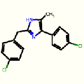 Cc1[nH]c(Cc2ccc(Cl)cc2)nc1-c1ccc(Cl)cc1